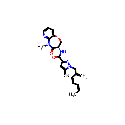 C=C(/C=C\C=C/C)Cn1nc(C(=O)N[C@H]2COc3cccnc3N(C)C2=O)cc1C#N